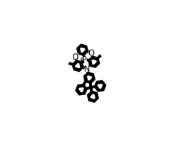 Cc1ccc2c3c1Oc1cccc4c1P3(=S)c1c(ccc(C)c1O4)N2c1ccc2c(c1)-c1ccccc1C2(c1ccccc1)c1ccccc1